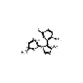 Cc1ccc(Cl)cc1-c1c(C#N)ccn1-c1nccc(N)n1